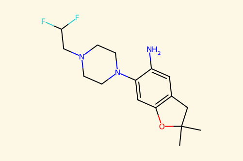 CC1(C)Cc2cc(N)c(N3CCN(CC(F)F)CC3)cc2O1